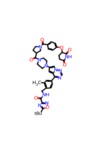 Cc1cc(-c2ncnn3cc(N4CCN(C(=O)C5CCN(C(=O)c6ccc(OC7CCC(=O)NC7=O)cc6)C5)CC4)cc23)ccc1CNC(=O)c1noc(C(C)(C)C)n1